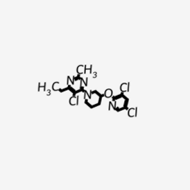 CCc1nc(C)nc(N2CCCC(Oc3ncc(Cl)cc3Cl)C2)c1Cl